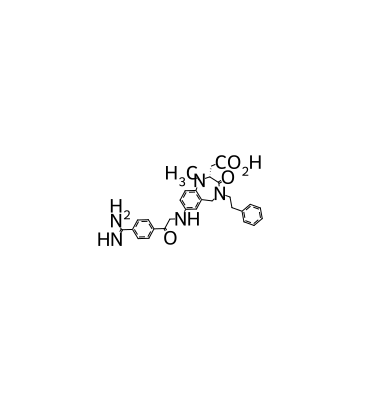 CN1c2ccc(NCC(=O)c3ccc(C(=N)N)cc3)cc2CN(CCc2ccccc2)C(=O)[C@H]1CC(=O)O